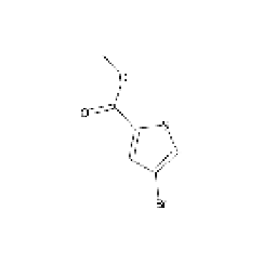 COC(=O)c1cc(Br)[c]s1